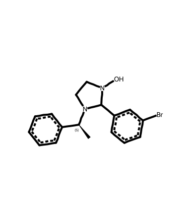 C[C@@H](c1ccccc1)N1CCN(O)C1c1cccc(Br)c1